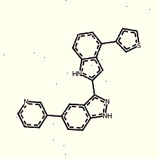 c1cncc(-c2ccc3[nH]nc(-c4cc5c(-c6ccsc6)cccc5[nH]4)c3c2)c1